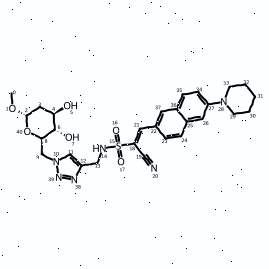 CO[C@@H]1C[C@@H](O)[C@H](O)[C@@H](Cn2cc(CNS(=O)(=O)/C(C#N)=C/c3ccc4cc(N5CCCCC5)ccc4c3)nn2)O1